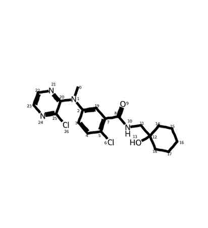 CN(c1ccc(Cl)c(C(=O)NCC2(O)CCCCC2)c1)c1nccnc1Cl